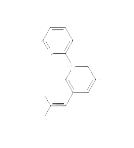 CC(C)=CC1=CN(c2ccccn2)CC=C1